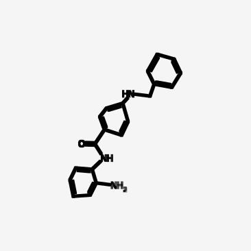 Nc1ccccc1NC(=O)c1ccc(NCc2ccccc2)cc1